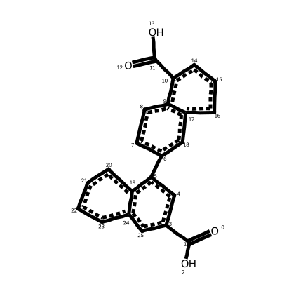 O=C(O)c1cc(-c2ccc3c(C(=O)O)cccc3c2)c2ccccc2c1